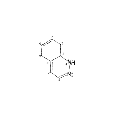 C1=CCC2N[N+]=CC=C2C1